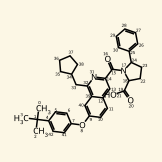 CC(C)(C)c1ccc(Oc2ccc3cc(C(=O)N4C(C(=O)O)CCC4c4ccccc4)nc(CC4CCCC4)c3c2)cc1